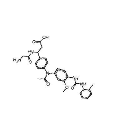 COc1cc(N(C(C)=O)c2ccc(C(CC(=O)O)NC(=O)CN)cc2)ccc1NC(=O)Nc1ccccc1C